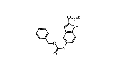 CCOC(=O)c1cc2cc(NC(=O)OCc3ccccc3)ccc2[nH]1